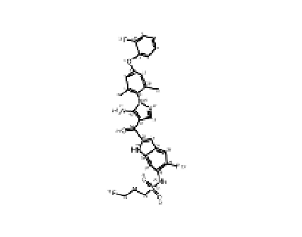 Cc1cc(Oc2ccccc2F)cc(C)c1-n1ncc(C(=O)c2cc3cc(F)c(NS(=O)(=O)CCCF)cc3[nH]2)c1N